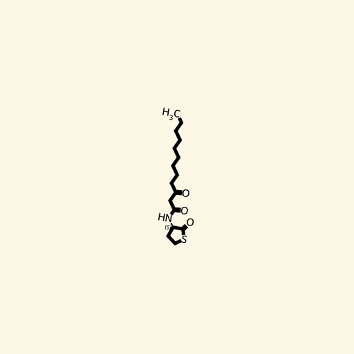 CCCCCCCCCC(=O)CC(=O)N[C@H]1CCSC1=O